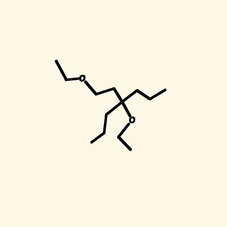 CCCC(CCC)(CCOCC)OCC